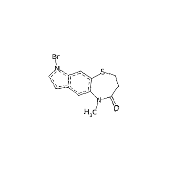 CN1C(=O)CCSc2cc3c(ccn3Br)cc21